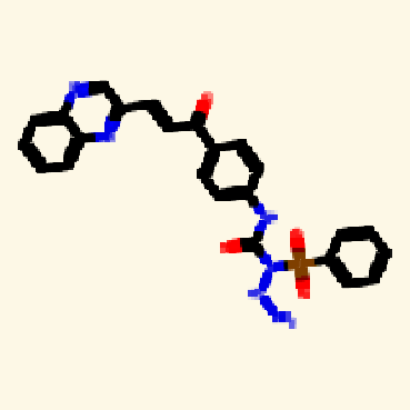 NNN(C(=O)Nc1ccc(C(=O)C=Cc2cnc3ccccc3n2)cc1)S(=O)(=O)c1ccccc1